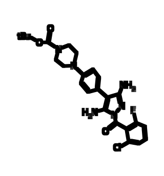 CC(C)(C)OC(=O)N1CCN(c2ccc(-c3c(N)nn(C(=O)c4c(F)cccc4Cl)c3N)cc2)CC1